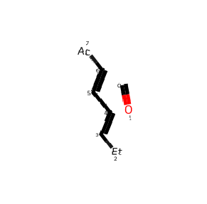 C=O.CCC=CC=CC(C)=O